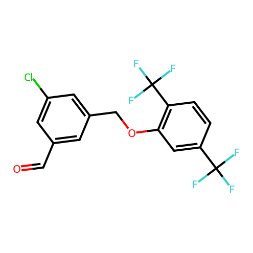 O=Cc1cc(Cl)cc(COc2cc(C(F)(F)F)ccc2C(F)(F)F)c1